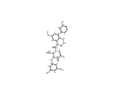 CCc1cc(-c2cccc(C)n2)c2c(c1)C(NCC(O)C(Cc1cc(F)cc(F)c1)NC(C)=O)CCC2